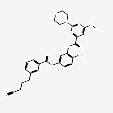 CNc1cc(C(=O)Nc2cc(NC(=O)c3cccc(CCCC#N)c3)ccc2C)nc(N2CCOCC2)n1